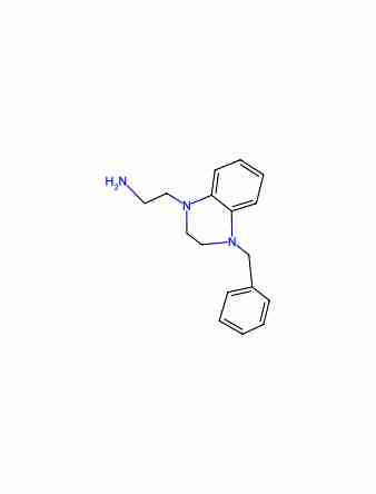 NCCN1CCN(Cc2ccccc2)c2ccccc21